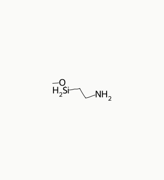 CO[SiH2]CCN